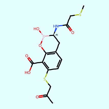 CSCC(=O)N[C@H]1Cc2ccc(SCC(C)=O)c(C(=O)O)c2OB1O